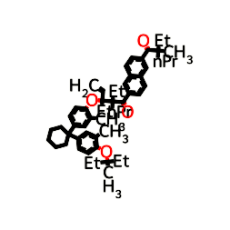 C=CC(CC)(Oc1ccc(C2(c3ccc(OC(C)(CC)CC)c(C)c3)CCCCC2)cc1C)C(CC)(CCC)C(=O)c1ccc2cc(C(=O)C(C)(CC)CCC)ccc2c1